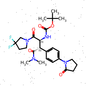 CN(C)C(=O)[C@@H](c1ccc(N2CCCC2=O)cc1)[C@H](NC(=O)OC(C)(C)C)C(=O)N1CCC(F)(F)C1